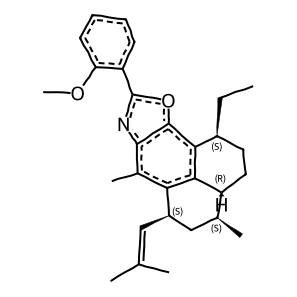 CC[C@H]1CC[C@H]2c3c(c(C)c4nc(-c5ccccc5OC)oc4c31)[C@H](C=C(C)C)C[C@@H]2C